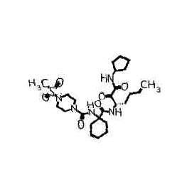 CCCC[C@H](NC(=O)C1(NC(=O)N2CCN(S(C)(=O)=O)CC2)CCCCC1)C(=O)C(=O)NC1CCCC1